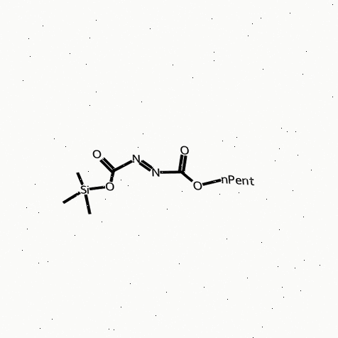 CCCCCOC(=O)/N=N/C(=O)O[Si](C)(C)C